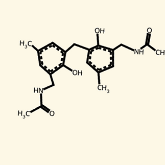 CC(=O)NCc1cc(C)cc(Cc2cc(C)cc(CNC(C)=O)c2O)c1O